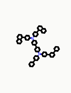 c1ccc(-c2ccc(N(c3ccc(-c4ccc(N(c5ccc(-c6cccc7ccccc67)cc5)c5ccc(-c6cccc7ccccc67)cc5)cc4)cc3)c3ccc(-c4cccc(-c5ccccc5)c4)cc3)cc2)cc1